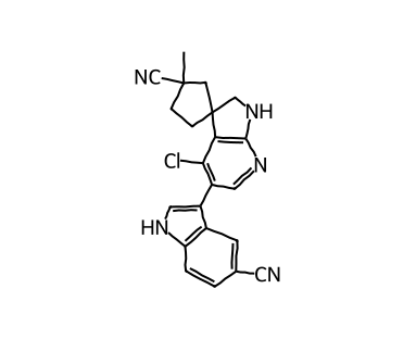 CC1(C#N)CCC2(CNc3ncc(-c4c[nH]c5ccc(C#N)cc45)c(Cl)c32)C1